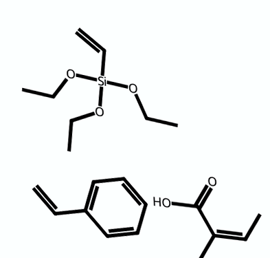 C=C[Si](OCC)(OCC)OCC.C=Cc1ccccc1.CC=C(C)C(=O)O